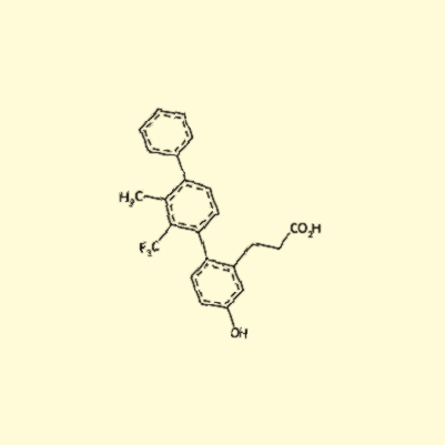 Cc1c(-c2ccccc2)ccc(-c2ccc(O)cc2CCC(=O)O)c1C(F)(F)F